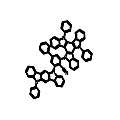 N#Cc1c(-n2c3ccccc3c3cc4c(cc32)c2ccccc2n4-c2ccccc2)cc(-c2ccccc2)cc1-n1c2ccccc2c2c3c(c4ccccc4n3-c3ccccc3)c3c(c4ccccc4n3-c3ccccc3)c21